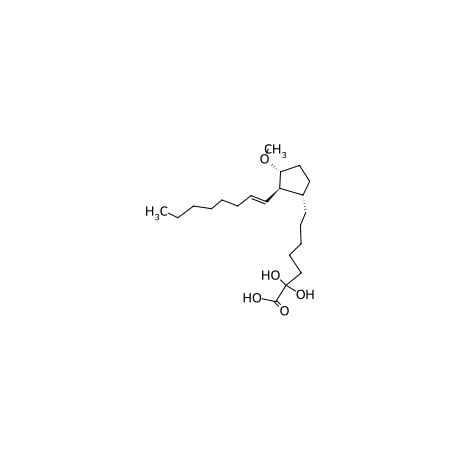 CCCCCCC=C[C@@H]1[C@@H](CCCCCC(O)(O)C(=O)O)CC[C@H]1OC